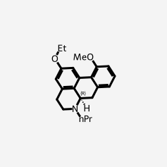 CCCN1CCc2cc(OCC)cc3c2[C@H]1Cc1cccc(OC)c1-3